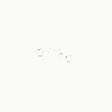 C[C@@H]1SCc2ncnc(N3CCN(C(=O)[C@H](N)Cc4ccc(Cl)c(F)c4)C[C@@H]3C)c21